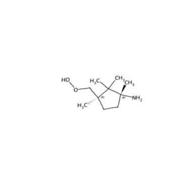 CC1(C)[C@](C)(COO)CC[C@@]1(C)N